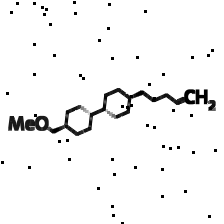 C=CCCC[C@H]1CC[C@H]([C@H]2CC[C@H](COC)CC2)CC1